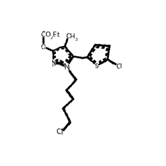 CCOC(=O)Oc1nn(CCCCCCl)c(-c2ccc(Cl)s2)c1C